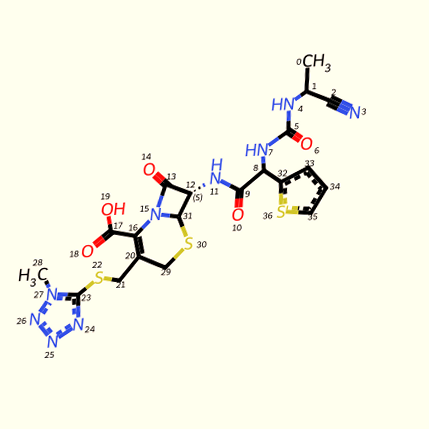 CC(C#N)NC(=O)NC(C(=O)N[C@H]1C(=O)N2C(C(=O)O)=C(CSc3nnnn3C)CSC12)c1cccs1